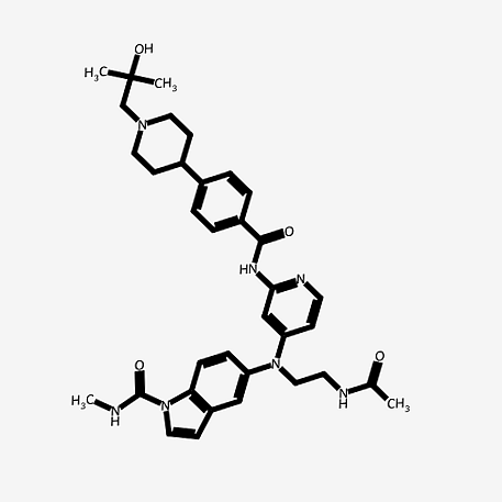 CNC(=O)n1ccc2cc(N(CCNC(C)=O)c3ccnc(NC(=O)c4ccc(C5CCN(CC(C)(C)O)CC5)cc4)c3)ccc21